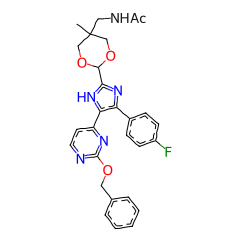 CC(=O)NCC1(C)COC(c2nc(-c3ccc(F)cc3)c(-c3ccnc(OCc4ccccc4)n3)[nH]2)OC1